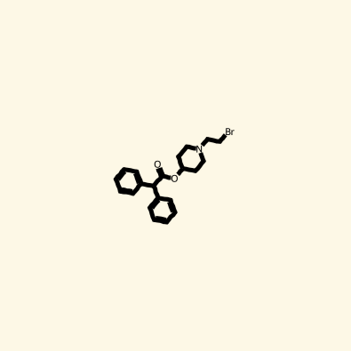 O=C(OC1CCN(CCBr)CC1)C(c1ccccc1)c1ccccc1